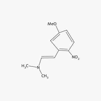 COc1ccc([N+](=O)[O-])c(C=CN(C)C)c1